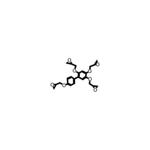 c1cc(-c2cc(OCC3CO3)c(OCC3CO3)cc2OCC2CO2)ccc1OCC1CO1